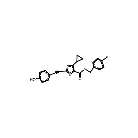 O=C(NCc1ccc(F)cc1)c1sc(C#Cc2ccc(O)cc2)nc1C1CC1